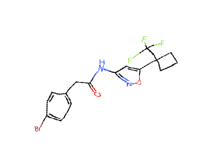 O=C(Cc1ccc(Br)cc1)Nc1cc(C2(C(F)(F)F)CCC2)on1